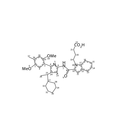 COc1cc(-c2nc(NC(=O)c3cc4ccccc4n3CCCC(=O)O)sc2C(C)C2CCCCC2)c(OC)cc1C